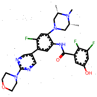 C[C@@H]1CN(c2cc(F)c(-c3cnc(N4CCOCC4)nc3)cc2NC(=O)c2cc(O)cc(F)c2F)C[C@H](C)N1C